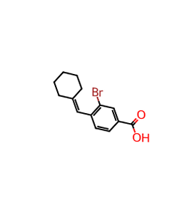 O=C(O)c1ccc(C=C2CCCCC2)c(Br)c1